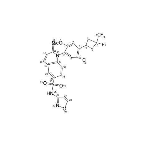 COc1cc(C2CC(F)(C(F)(F)F)C2)c(Cl)cc1-n1c(=O)ccc2cc(S(=O)(=O)Nc3ccon3)ccc21